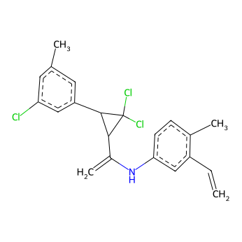 C=Cc1cc(NC(=C)C2C(c3cc(C)cc(Cl)c3)C2(Cl)Cl)ccc1C